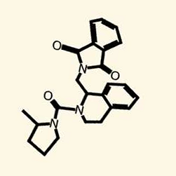 CC1CCCN1C(=O)N1CCc2ccccc2C1CN1C(=O)c2ccccc2C1=O